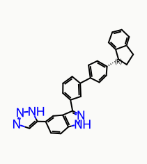 c1cc(-c2ccc([C@H]3CCc4ccccc43)cc2)cc(-c2n[nH]c3ccc(-c4cnn[nH]4)cc23)c1